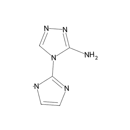 Nc1nncn1C1=NC=C[N]1